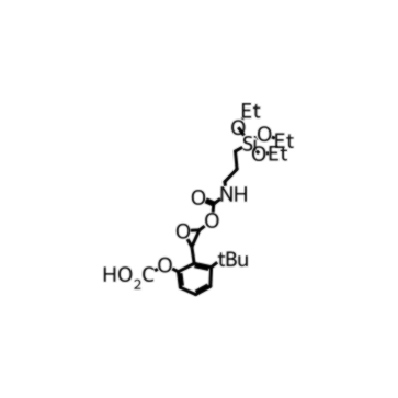 CCO[Si](CCCNC(=O)OC1OC1c1c(OC(=O)O)cccc1C(C)(C)C)(OCC)OCC